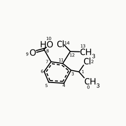 CC(Cl)c1cccc(C(=O)O)c1C(C)Cl